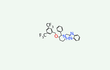 FC(F)(F)c1cc(COC2CCCN(Cc3nc4ccccc4[nH]3)C2c2ccccc2)cc(C(F)(F)F)c1